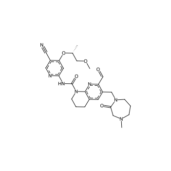 COC[C@@H](C)Oc1cc(NC(=O)N2CCCc3cc(CN4CCCN(C)CC4=O)c(C=O)nc32)ncc1C#N